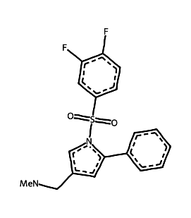 CNCc1cc(-c2ccccc2)n(S(=O)(=O)c2ccc(F)c(F)c2)c1